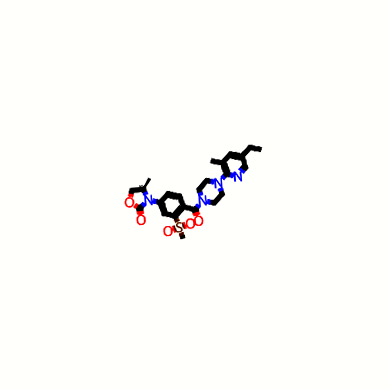 CCc1cnc(N2CCN(C(=O)c3ccc(N4C(=O)OC[C@H]4C)cc3S(C)(=O)=O)CC2)c(C)c1